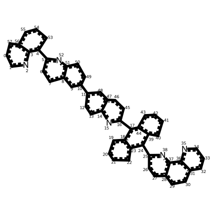 c1cnc2c(-c3ccc4cc(-c5ccc6nc(-c7c8ccccc8c(-c8ccc9ccc%10cccnc%10c9n8)c8ccccc78)ccc6c5)ccc4n3)cccc2c1